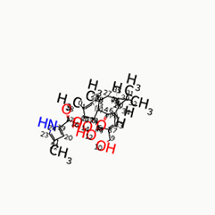 CC1=C[C@]23C(=O)[C@@H](C=C(CO)[C@@H](O)[C@]2(O)[C@H]1OC(=O)c1cc(C)c[nH]1)[C@H]1[C@@H](C[C@H]3C)C1(C)C